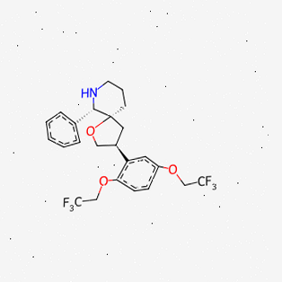 FC(F)(F)COc1ccc(OCC(F)(F)F)c([C@H]2CO[C@]3(CCCN[C@H]3c3ccccc3)C2)c1